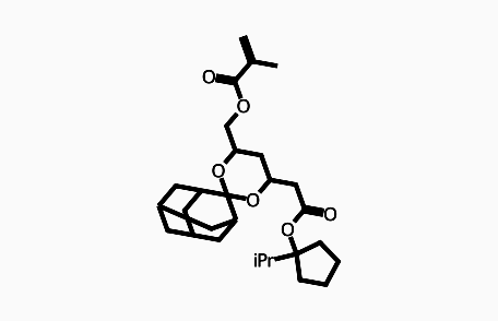 C=C(C)C(=O)OCC1CC(CC(=O)OC2(C(C)C)CCCC2)OC2(O1)C1CC3CC(C1)CC2C3